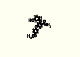 COc1ccc(Oc2ncc(C(N)=O)c(NC3CCCC(O)C3)n2)cc1